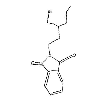 CCCC(CBr)CCN1C(=O)c2ccccc2C1=O